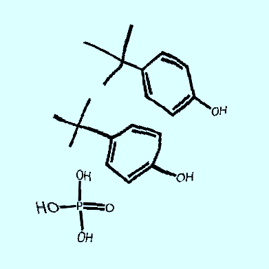 CC(C)(C)c1ccc(O)cc1.CC(C)(C)c1ccc(O)cc1.O=P(O)(O)O